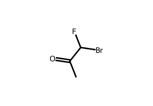 CC(=O)C(F)Br